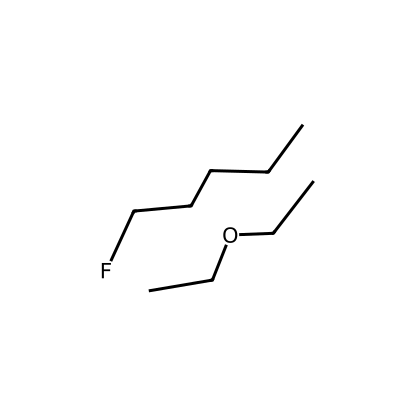 CCCCCF.CCOCC